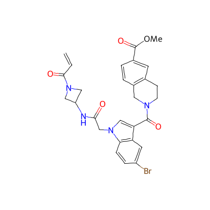 C=CC(=O)N1CC(NC(=O)Cn2cc(C(=O)N3CCc4cc(C(=O)OC)ccc4C3)c3cc(Br)ccc32)C1